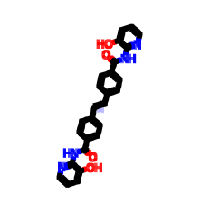 O=C(Nc1ncccc1O)c1ccc(/C=C/c2ccc(C(=O)Nc3ncccc3O)cc2)cc1